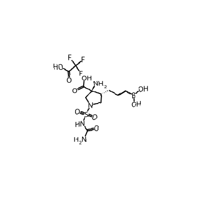 NC(=O)NS(=O)(=O)N1C[C@@H](CCCB(O)O)[C@@](N)(C(=O)O)C1.O=C(O)C(F)(F)F